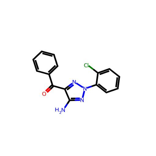 Nc1nn(-c2ccccc2Cl)nc1C(=O)c1ccccc1